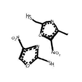 Cc1nc(S)oc1[N+](=O)[O-].O=[N+]([O-])c1coc(S)n1